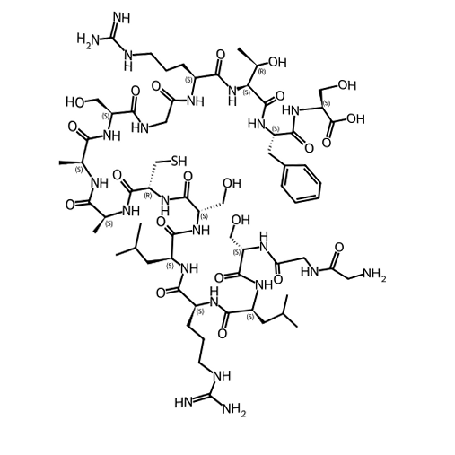 CC(C)C[C@H](NC(=O)[C@H](CO)NC(=O)CNC(=O)CN)C(=O)N[C@@H](CCCNC(=N)N)C(=O)N[C@@H](CC(C)C)C(=O)N[C@@H](CO)C(=O)N[C@@H](CS)C(=O)N[C@@H](C)C(=O)N[C@@H](C)C(=O)N[C@@H](CO)C(=O)NCC(=O)N[C@@H](CCCNC(=N)N)C(=O)N[C@H](C(=O)N[C@@H](Cc1ccccc1)C(=O)N[C@@H](CO)C(=O)O)[C@@H](C)O